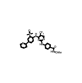 CONC(=O)c1ccc(Nc2ncc(C(F)(F)F)c(Nc3ccc(-c4ccccn4)cc3P(C)(C)=O)n2)cc1